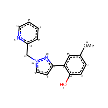 COc1ccc(O)c(-c2ccn(Cc3ccccn3)n2)c1